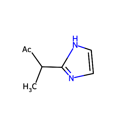 CC(=O)C(C)c1ncc[nH]1